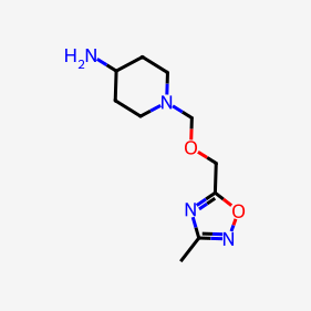 Cc1noc(COCN2CCC(N)CC2)n1